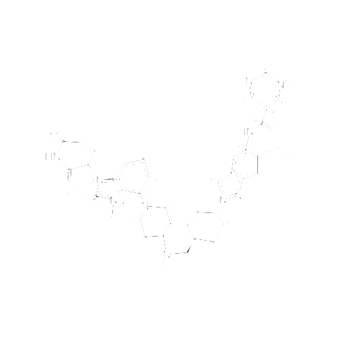 COc1cc2nn([C@H]3CC[C@H](CN(C)C4CCN(c5cccc6c5n(C)c(=O)n6C5CCC(=O)NC5=O)CC4)CC3)cc2cc1NC(=O)c1cncnc1